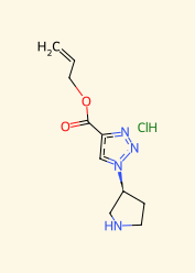 C=CCOC(=O)c1cn([C@H]2CCNC2)nn1.Cl